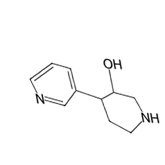 OC1CNCCC1c1cccnc1